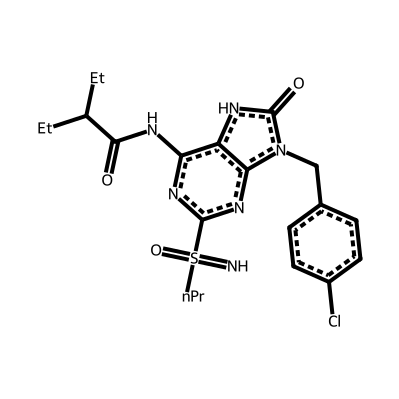 CCCS(=N)(=O)c1nc(NC(=O)C(CC)CC)c2[nH]c(=O)n(Cc3ccc(Cl)cc3)c2n1